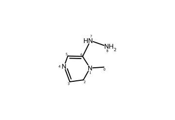 CN1CC=NC=C1NN